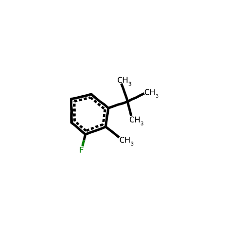 Cc1c(F)cccc1C(C)(C)C